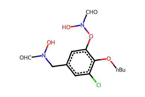 CCCCOc1c(Cl)cc(CN(O)C=O)cc1ON(O)C=O